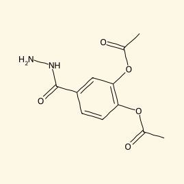 CC(=O)Oc1ccc(C(=O)NN)cc1OC(C)=O